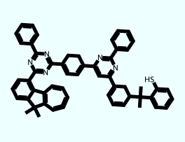 CC1(C)C2=C(C=CC=C=C2)c2c(-c3nc(C4=CC=C(c5cc(C6=CC=CC(C(C)(C)c7ccccc7S)C6)nc(-c6ccccc6)n5)CC4)nc(-c4ccccc4)n3)cccc21